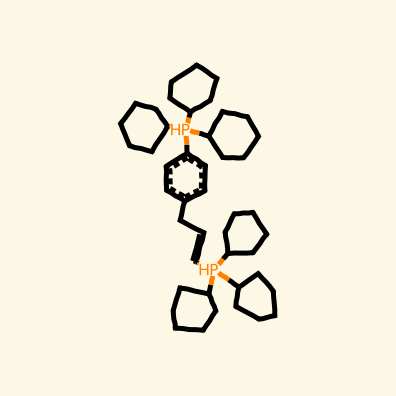 C(=C[PH](C1CCCCC1)(C1CCCCC1)C1CCCCC1)Cc1ccc([PH](C2CCCCC2)(C2CCCCC2)C2CCCCC2)cc1